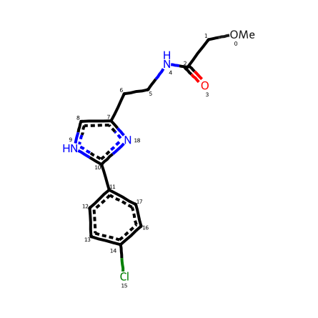 COCC(=O)NCCc1c[nH]c(-c2ccc(Cl)cc2)n1